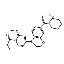 C/N=c1/cc(N2CCOc3cc(C(=O)N4CCCC[C@H]4C)cnc32)ccn1C(=O)C(C)C